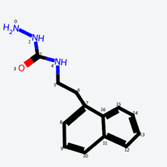 NNC(=O)NCCc1cccc2ccccc12